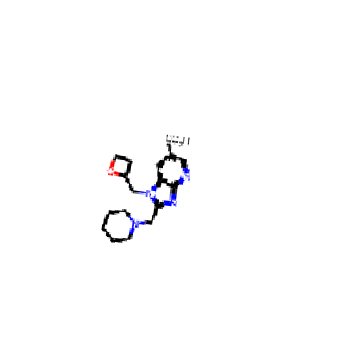 O=C(O)c1cnc2nc(CN3CCCCC3)n(CC3CCO3)c2c1